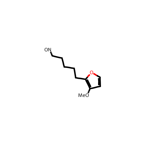 COc1ccoc1CCCCCN=O